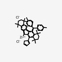 Cc1ccc(C(c2ccc(C)cc2)=c2c3c(c(C4=CC=CC4)c4c2=c2cc5c(cc2=[C]4[Zr+2])C(C)(C)CCC5(C)C)C(C)(C)CCC3(C)C)cc1.[Cl-].[Cl-]